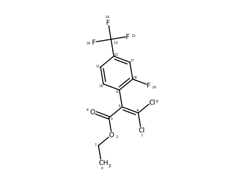 CCOC(=O)C(=C(Cl)Cl)c1ccc(C(F)(F)F)cc1F